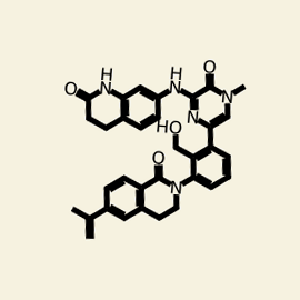 C=C(C)c1ccc2c(c1)CCN(c1cccc(-c3cn(C)c(=O)c(Nc4ccc5c(c4)NC(=O)CC5)n3)c1CO)C2=O